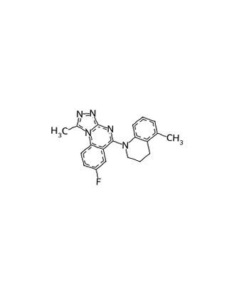 Cc1cccc2c1CCCN2c1nc2nnc(C)n2c2ccc(F)cc12